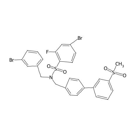 CS(=O)(=O)c1cccc(-c2ccc(CN(Cc3cccc(Br)c3)S(=O)(=O)c3ccc(Br)cc3F)cc2)c1